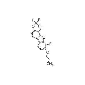 CCCOc1ccc2c(oc3c(F)c(OC(F)(F)F)ccc32)c1F